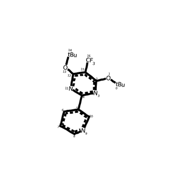 CC(C)(C)Oc1nc(-c2cccnc2)nc(OC(C)(C)C)c1C(F)(F)F